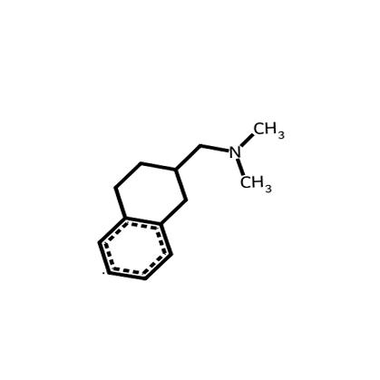 CN(C)CC1CCc2c[c]ccc2C1